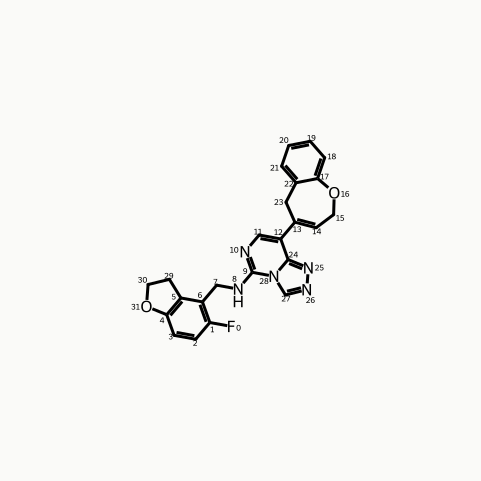 Fc1ccc2c(c1CNc1ncc(C3=CCOc4ccccc4C3)c3nncn13)CCO2